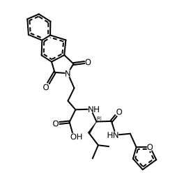 CC(C)C[C@@H](NC(CCN1C(=O)c2cc3ccccc3cc2C1=O)C(=O)O)C(=O)NCc1ccco1